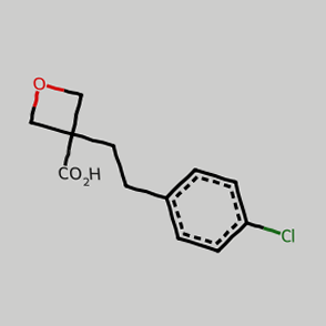 O=C(O)C1(CCc2ccc(Cl)cc2)COC1